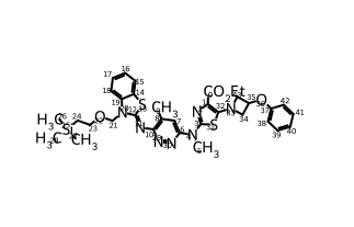 CCOC(=O)c1nc(N(C)c2cc(C)c(/N=c3\sc4ccccc4n3COCC[Si](C)(C)C)nn2)sc1N1CC(Oc2ccccc2)C1